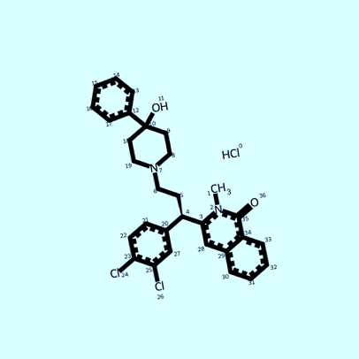 Cl.Cn1c([C@H](CCN2CCC(O)(c3ccccc3)CC2)c2ccc(Cl)c(Cl)c2)cc2ccccc2c1=O